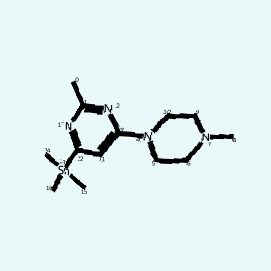 Cc1nc(N2CCN(C)CC2)c[c]([Sn]([CH3])([CH3])[CH3])n1